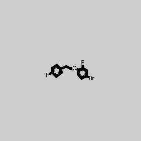 Fc1ccc(CCOc2ccc(Br)cc2F)cc1